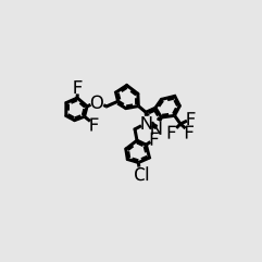 Fc1cc(Cl)ccc1Cn1nc2c(C(F)(F)F)cccc2c1-c1cccc(COc2c(F)cccc2F)c1